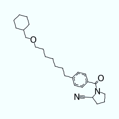 N#CC1CCCN1C(=O)c1ccc(CCCCCCCOCC2CCCCC2)cc1